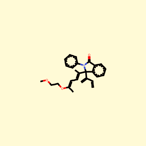 C=CC(=C)C1(/C(C)=C/C=C(\C)OCCOC)c2ccccc2C(=O)N1c1ccccc1